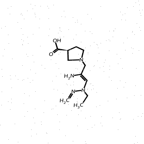 C=NN(/C=C(\N)CN1CC[C@H](C(=O)O)C1)CC